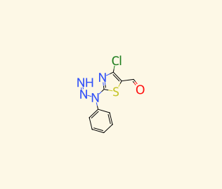 N=NN(c1ccccc1)c1nc(Cl)c(C=O)s1